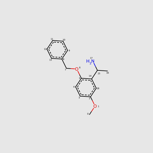 COc1ccc(OCc2ccccc2)c(C(C)N)c1